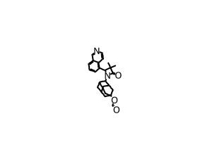 CC1(C)C(=O)N(C2C3CC4CC2CC(OC=O)(C4)C3)C1c1cccc2cnccc12